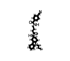 N#Cc1ccc(C(=O)NCCCC(=O)Nc2ccc3c(c2)c2ccccc2n3CCI)cc1